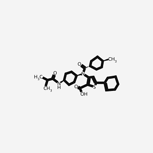 CC(C)C(=O)N[C@H]1CC[C@@H](N(c2cc(C3=CCCCC3)sc2C(=O)O)C(=O)[C@H]2CC[C@H](C)CC2)CC1